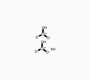 [KH].[O-][Cl+2]([O-])O.[O-][Cl+2]([O-])O